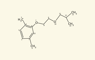 Cc1ccc(C)c(OCCOCC(C)C)c1